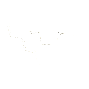 O=Cc1cc(Br)c2c(c1)CN(C=O)C2